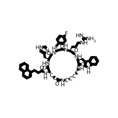 N=C(N)NCCC[C@@H]1NC(=O)[C@@H](Cc2ccc(F)cc2)NC(=O)[C@H](Cc2c[nH]cn2)NC(=O)[C@@H](NC(=O)CCc2cccc3ccccc23)CCC(=O)NCCCCNC(=O)[C@H](Cc2c[nH]c3ccccc23)NC1=O